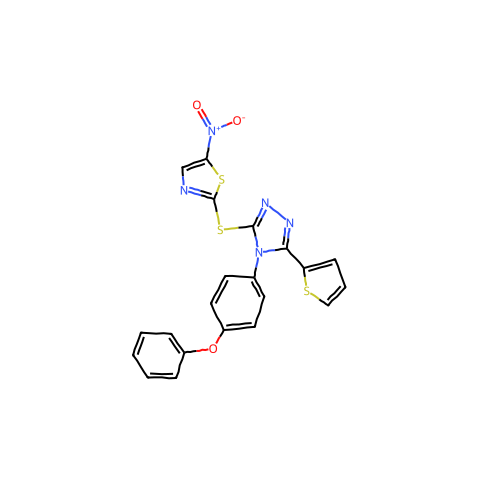 O=[N+]([O-])c1cnc(Sc2nnc(-c3cccs3)n2-c2ccc(Oc3ccccc3)cc2)s1